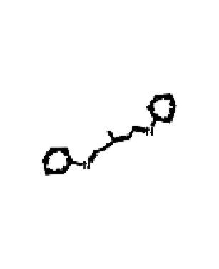 C/C(=C\C=Nc1ccccc1)CC=Nc1ccccc1